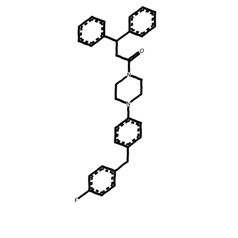 O=C(CC(c1ccccc1)c1ccccc1)N1CCN(c2ccc(Cc3ccc(F)cc3)cc2)CC1